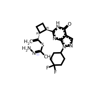 C=C(S/C(C)=N\N)[C@@H]1CC[C@H]1c1nc2c(cnn2C2CCC(F)(F)CC2)c(=O)[nH]1